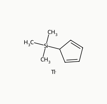 C[Si](C)(C)C1C=CC=C1.[Tl]